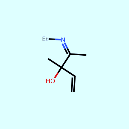 C=CC(C)(O)C(C)=NCC